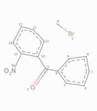 CBr.O=C(c1ccccc1)c1ccccc1[N+](=O)[O-]